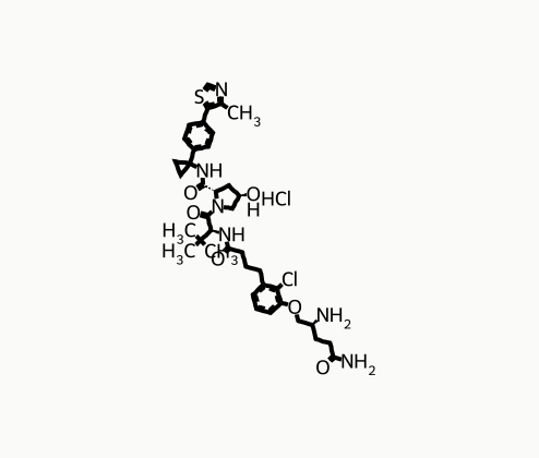 Cc1ncsc1-c1ccc(C2(NC(=O)[C@@H]3C[C@@H](O)CN3C(=O)[C@@H](NC(=O)CCCc3cccc(OC[C@@H](N)CCC(N)=O)c3Cl)C(C)(C)C)CC2)cc1.Cl